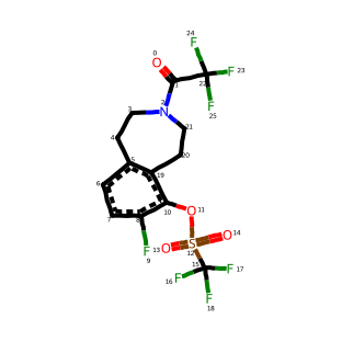 O=C(N1CCc2ccc(F)c(OS(=O)(=O)C(F)(F)F)c2CC1)C(F)(F)F